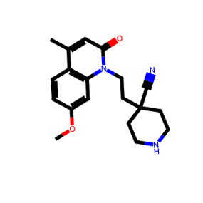 COc1ccc2c(C)cc(=O)n(CCC3(C#N)CCNCC3)c2c1